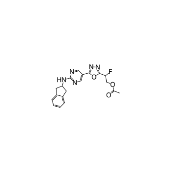 CC(=O)OCC(F)c1nnc(-c2cnc(NC3Cc4ccccc4C3)nc2)o1